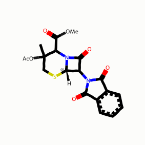 COC(=O)C1N2C(=O)C(N3C(=O)c4ccccc4C3=O)[C@@H]2SCC1(C)OC(C)=O